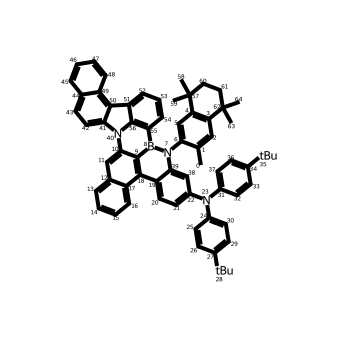 Cc1cc2c(cc1N1B3c4c(cc5ccccc5c4-c4ccc(N(c5ccc(C(C)(C)C)cc5)c5ccc(C(C)(C)C)cc5)cc41)-n1c4ccc5ccccc5c4c4cccc3c41)C(C)(C)CCC2(C)C